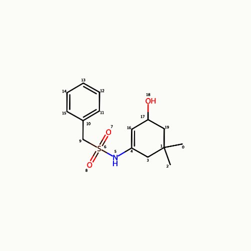 CC1(C)CC(NS(=O)(=O)Cc2ccccc2)=CC(O)C1